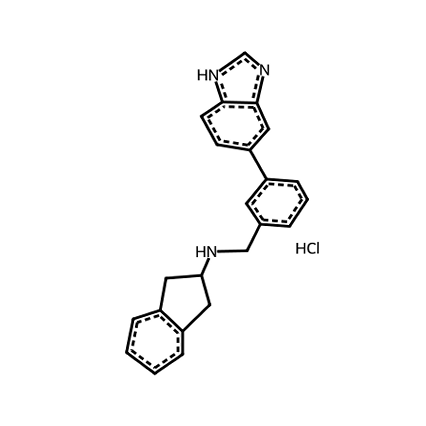 Cl.c1cc(CNC2Cc3ccccc3C2)cc(-c2ccc3[nH]cnc3c2)c1